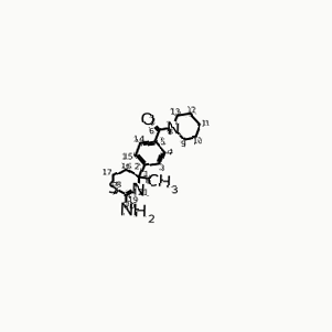 CC1(c2ccc(C(=O)N3CCCCC3)cc2)CCSC(N)=N1